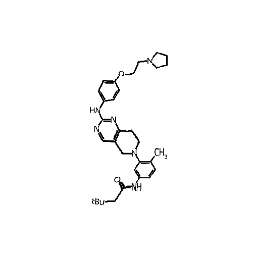 Cc1ccc(NC(=O)CC(C)(C)C)cc1N1CCc2nc(Nc3ccc(OCCN4CCCC4)cc3)ncc2C1